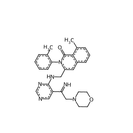 Cc1ccccc1-n1c(CNc2ncncc2C(=N)CN2CCOCC2)cc2cccc(C)c2c1=O